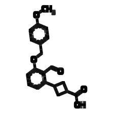 COc1ccc(COc2cccc(C3CC(C(=O)O)C3)c2C=O)cc1